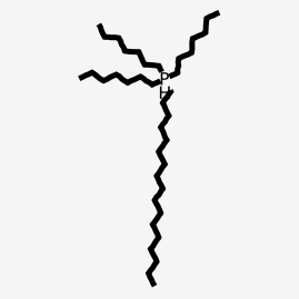 CCCCCCCCCCCCCCCCC[PH](CCCCCCC)(CCCCCCC)CCCCCCC